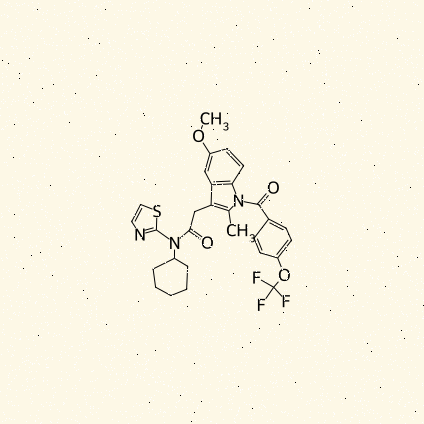 COc1ccc2c(c1)c(CC(=O)N(c1nccs1)C1CCCCC1)c(C)n2C(=O)c1ccc(OC(F)(F)F)cc1